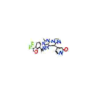 Cc1nc(N[C@H](C)c2cccc3c2OCC3(F)F)c2c(n1)N1CCN=C1C(c1ccn(C)c(=O)c1)=C2